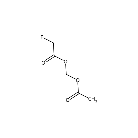 CC(=O)OCOC(=O)CF